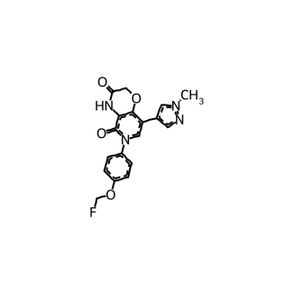 Cn1cc(-c2cn(-c3ccc(OCF)cc3)c(=O)c3c2OCC(=O)N3)cn1